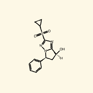 [2H][C@]1(O)C[C@@H](c2ccccc2)n2nc(S(=O)(=O)C3CC3)nc21